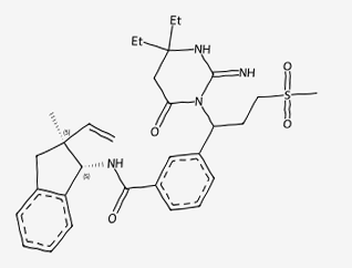 C=C[C@]1(C)Cc2ccccc2[C@H]1NC(=O)c1cccc(C(CCS(C)(=O)=O)N2C(=N)NC(CC)(CC)CC2=O)c1